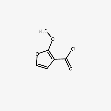 COc1occc1C(=O)Cl